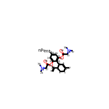 C=C(C)C1CCC(C)=CC1c1c(OC(=O)CN(C)C)cc(CCCCC)cc1OC(=O)CN(C)C